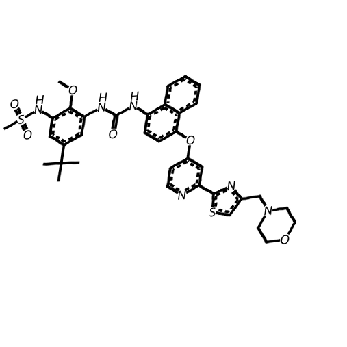 COc1c(NC(=O)Nc2ccc(Oc3ccnc(-c4nc(CN5CCOCC5)cs4)c3)c3ccccc23)cc(C(C)(C)C)cc1NS(C)(=O)=O